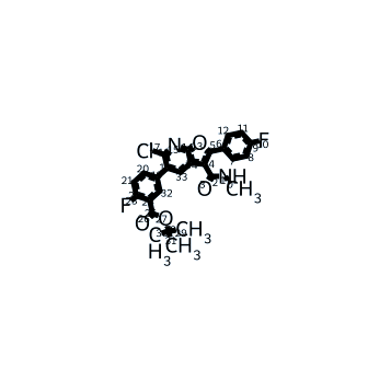 CNC(=O)c1c(-c2ccc(F)cc2)oc2nc(Cl)c(-c3ccc(F)c(C(=O)OC(C)(C)C)c3)cc12